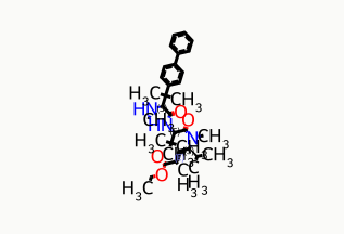 CCOC(=O)/C(C)=C/[C@H](C(C)C)N(C)C(=O)[C@@H](NC(=O)[C@@H](NC)C(C)(C)c1ccc(-c2ccccc2)cc1)C(C)(C)C